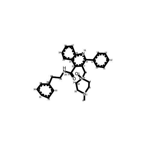 CN1CC[N+]([O-])(Cc2c(-c3ccccc3)nc3ccccc3c2C(=O)NCCc2ccccc2)CC1